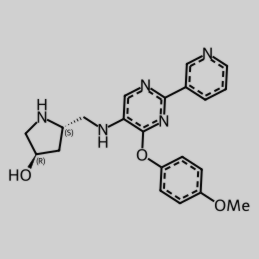 COc1ccc(Oc2nc(-c3cccnc3)ncc2NC[C@@H]2C[C@@H](O)CN2)cc1